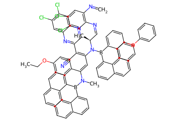 C=Nc1cc(Cl)c(Cl)cc1/N=C\[C@H](C)N(B(c1cccc2ccccc12)c1cccc2cccc(CCOc3ccccc3)c12)C(/C=C(\c1ccc(OCC)cc1)N(C)B(c1cccc2ccccc12)c1cccc2ccccc12)=C(/C#N)c1cnc2cc(Cl)c(Cl)cc2n1